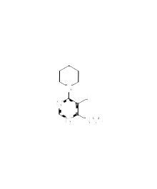 CNc1ncnc(N2CCC[C@@H](C)C2)c1I